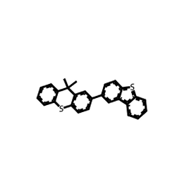 CC1(C)c2ccccc2Sc2ccc(-c3ccc4sc5ccccc5c4c3)cc21